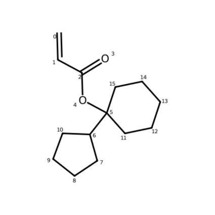 C=CC(=O)OC1(C2CCCC2)CCCCC1